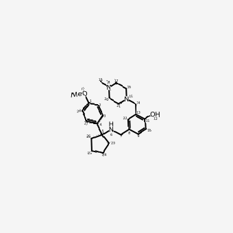 COc1ccc(C2(NCc3ccc(O)c(CN4CCN(C)CC4)c3)CCCC2)cc1